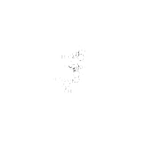 Cc1cc(C)cc(-n2ccc3cc(NC4c5ccc6c(c5C(C)(C)CC4(O)C(F)(F)F)OCO6)ccc32)c1